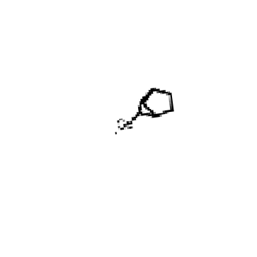 [Ge][CH]1CC2CCC1C2